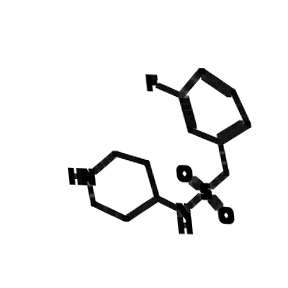 O=S(=O)(Cc1cccc(F)c1)NC1CCNCC1